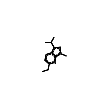 CCc1ccc2c(C(C)C)nn(C)c2n1